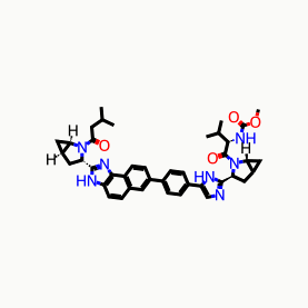 COC(=O)N[C@H](C(=O)N1[C@@H]2CC2C[C@H]1c1ncc(-c2ccc(-c3ccc4c(ccc5[nH]c([C@@H]6C[C@H]7C[C@H]7N6C(=O)CC(C)C)nc54)c3)cc2)[nH]1)C(C)C